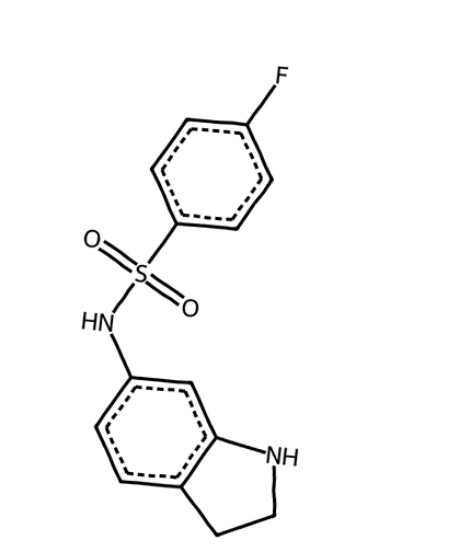 O=S(=O)(Nc1ccc2c(c1)NCC2)c1ccc(F)cc1